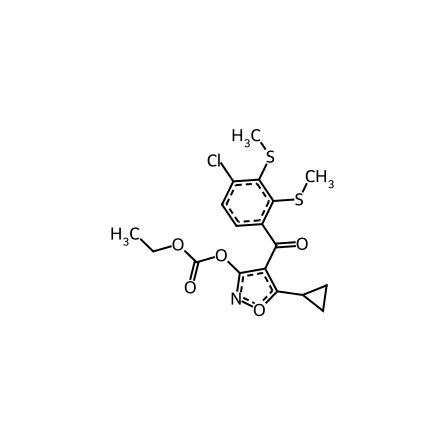 CCOC(=O)Oc1noc(C2CC2)c1C(=O)c1ccc(Cl)c(SC)c1SC